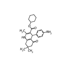 CC1=C(C(=O)OC2CCCCC2)C(c2ccc(N)cc2)C2=C(CC(C)(C)CC2=O)N1